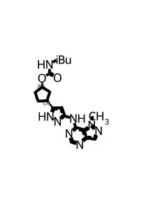 CCC(C)NC(=O)O[C@@H]1CC[C@H](c2cc(Nc3ncnc4cnn(C)c34)n[nH]2)C1